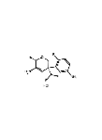 C[C@H]1OC[C@](c2cc(N)ccc2F)(C(F)F)N=C1N.Cl